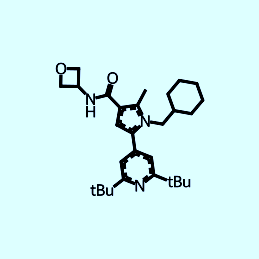 Cc1c(C(=O)NC2COC2)cc(-c2cc(C(C)(C)C)nc(C(C)(C)C)c2)n1CC1CCCCC1